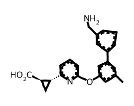 Cc1cc(Oc2cccc([C@@H]3C[C@H]3C(=O)O)n2)cc(-c2cccc(CN)c2)c1